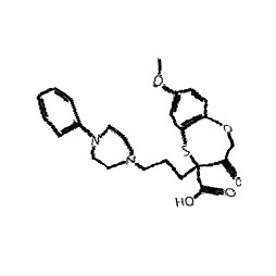 COc1ccc2c(c1)SC(CCCN1CCN(c3ccccc3)CC1)(C(=O)O)C(=O)CO2